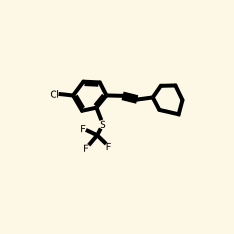 FC(F)(F)Sc1cc(Cl)ccc1C#CC1CCCCC1